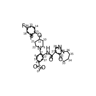 CS(=O)(=O)c1ccc(N2CCC(Oc3ccc(F)cc3F)CC2)c(NC(=O)c2cnn3c2OCCCC3)c1